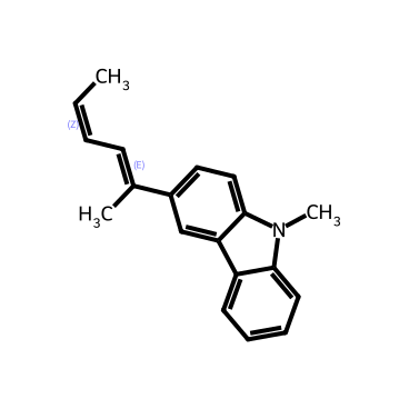 C/C=C\C=C(/C)c1ccc2c(c1)c1ccccc1n2C